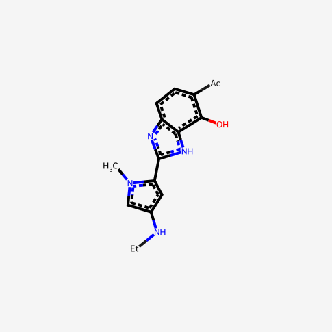 CCNc1cc(-c2nc3ccc(C(C)=O)c(O)c3[nH]2)n(C)c1